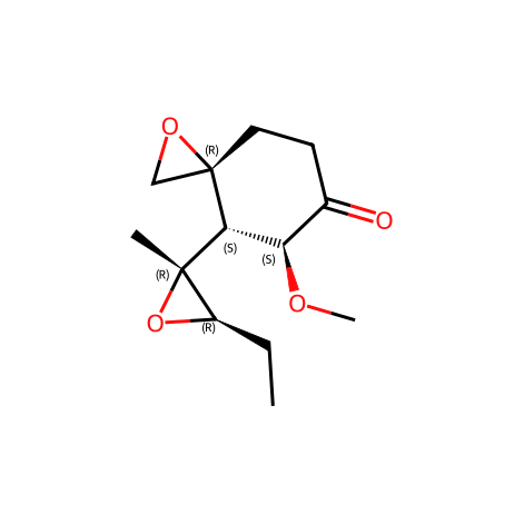 CC[C@H]1O[C@]1(C)[C@H]1[C@H](OC)C(=O)CC[C@]12CO2